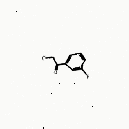 O=C([CH]Cl)c1cccc(F)c1